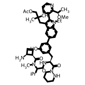 CCn1c(-c2cccnc2[C@H](C)OC)c(CC(C)(C)COC(C)=O)c2cc(-c3cc(O)cc(C[C@H](NC(=O)C(C(C)C)N(C)C(=O)[C@@H]4C=C[C@@H]4N)C(=O)N4CCCCN4)c3)ccc21